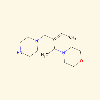 CC=C(CN1CCNCC1)C(C)N1CCOCC1